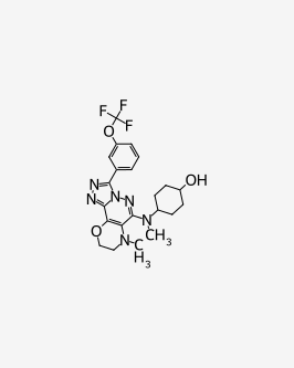 CN1CCOc2c1c(N(C)C1CCC(O)CC1)nn1c(-c3cccc(OC(F)(F)F)c3)nnc21